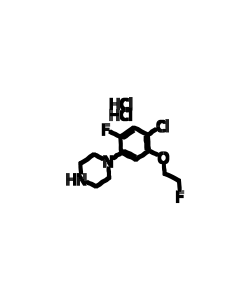 Cl.Cl.FCCOc1cc(N2CCNCC2)c(F)cc1Cl